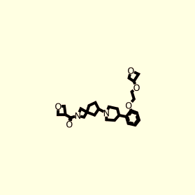 O=C(C1COC1)N1CC2(CCC(N3CCC(c4ccccc4OCCOC4COC4)CC3)C2)C1